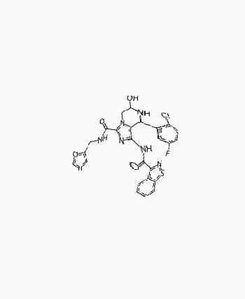 O=C(Nc1nc(C(=O)NCc2cnco2)n2c1C(c1cc(F)ccc1Cl)NC(O)C2)c1nsc2ccccc12